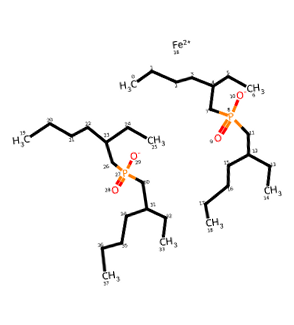 CCCCC(CC)CP(=O)([O-])CC(CC)CCCC.CCCCC(CC)CP(=O)([O-])CC(CC)CCCC.[Fe+2]